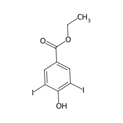 CCOC(=O)c1cc(I)c(O)c(I)c1